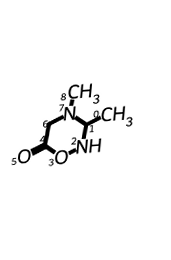 CC1NOC(=O)CN1C